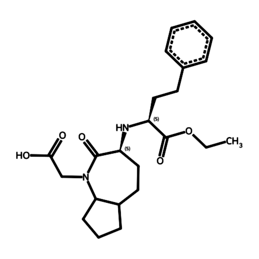 CCOC(=O)[C@H](CCc1ccccc1)N[C@H]1CCC2CCCC2N(CC(=O)O)C1=O